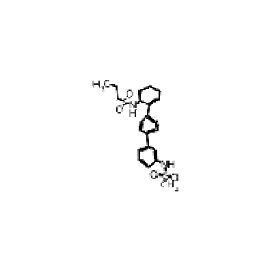 CCCS(=O)(=O)NC1CCCC=C1c1ccc(-c2cccc(NS(C)(=O)=O)c2)cc1